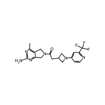 Cc1nc(N)nc2c1CN(C(=O)CC1CN(c3ccnc(C(F)(F)F)c3)C1)C2